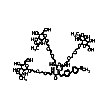 COc1ccc(-c2ccc(CC(C(=O)NCCOCCOCCOC3OC(CO)C(O)C(O)C3NC(C)=O)N(CC(=O)NCCOCCOCCOC3OC(CO)C(O)C(O)C3NC(C)=O)CC(=O)NCCOCCOCCOC3OC(CO)C(O)C(O)C3NC(C)=O)cc2)cc1